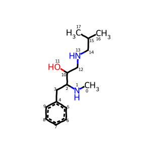 CNC(Cc1ccccc1)C(O)CNCC(C)C